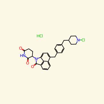 Cl.O=C1CCC(N2C(=O)c3cccc4c(Cc5ccc(CC6CCN(Cl)CC6)cc5)ccc2c34)C(=O)N1